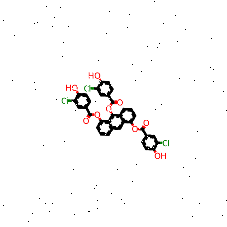 O=C(Oc1cccc2c(OC(=O)c3ccc(O)c(Cl)c3)c3c(OC(=O)c4ccc(O)c(Cl)c4)cccc3cc12)c1ccc(O)c(Cl)c1